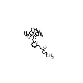 CCOC(=O)CCc1cccc(CO[Si](C)(C)C(C)(C)C)n1